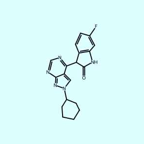 O=C1Nc2cc(F)ccc2C1c1ncnc2nn(C3CCCCC3)cc12